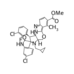 COC(=O)c1ccc2nn3c(c2c1C)OC[C@H]1[C@@H]3[C@H](c2cccc(Cl)c2F)[C@]2(C(=O)Nc3cc(Cl)ccc32)N1CC1CC1